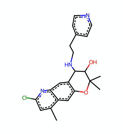 Cc1cc(Cl)nc2cc3c(cc12)OC(C)(C)C(O)C3NCCc1ccncc1